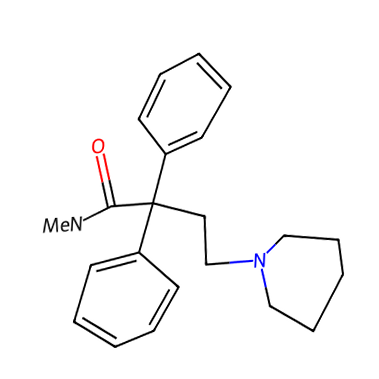 CNC(=O)C(CCN1CCCCC1)(c1ccccc1)c1ccccc1